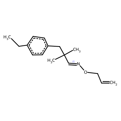 C=CCO/N=C/C(C)(C)Cc1ccc(CC)cc1